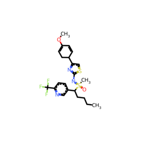 CCCCC(c1ccc(C(F)(F)F)nc1)S(C)(=O)=Nc1nc(C2C=CC(OC)=CC2)cs1